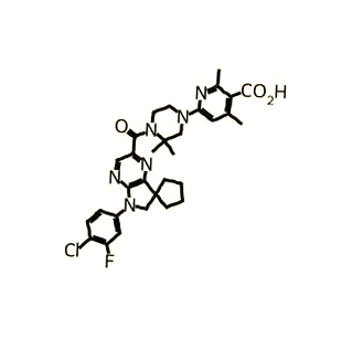 Cc1cc(N2CCN(C(=O)c3cnc4c(n3)C3(CCCC3)CN4c3ccc(Cl)c(F)c3)C(C)(C)C2)nc(C)c1C(=O)O